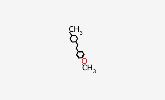 CCOc1ccc(CCC2CCC(CC)CC2)cc1